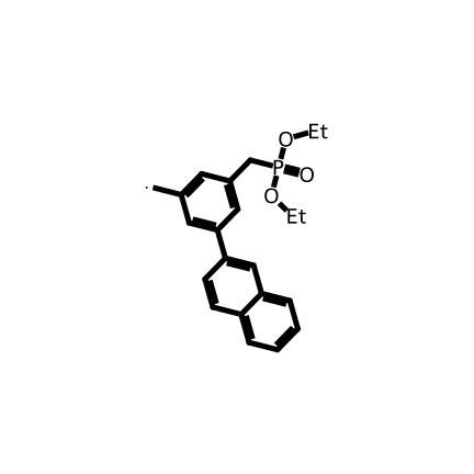 [CH2]c1cc(CP(=O)(OCC)OCC)cc(-c2ccc3ccccc3c2)c1